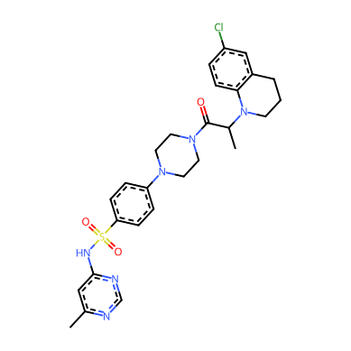 Cc1cc(NS(=O)(=O)c2ccc(N3CCN(C(=O)C(C)N4CCCc5cc(Cl)ccc54)CC3)cc2)ncn1